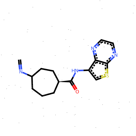 C=NC1CCC[C@H](C(=O)Nc2csc3nccnc23)CC1